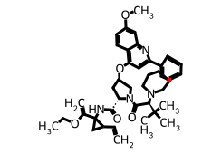 C=CC1CC1(NC(=O)[C@@H]1C[C@@H](Oc2cc(-c3ccccc3)nc3cc(OC)ccc23)CN1C(=O)[C@@H](N1CCCCC1)C(C)(C)C)C(=C)OCC